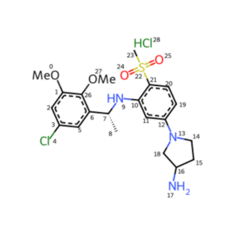 COc1cc(Cl)cc([C@@H](C)Nc2cc(N3CCC(N)C3)ccc2S(C)(=O)=O)c1OC.Cl